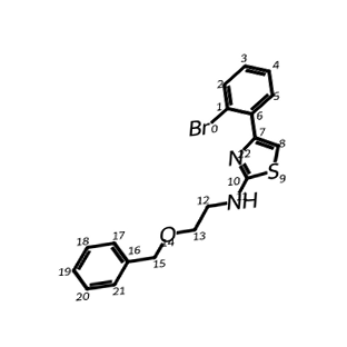 Brc1ccccc1-c1csc(NCCOCc2ccccc2)n1